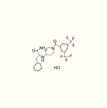 Cl.NC(=O)C(Cc1ccccc1)NC1CCN(C(=O)c2cc(C(F)(F)F)cc(C(F)(F)F)c2)CC1